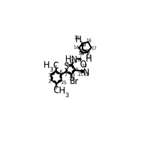 Cc1ccc(C)c(-c2sc(NC(=O)[C@@H]3C[C@H]4CC[C@H]3C4)c(C#N)c2Br)c1